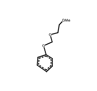 COCCOCOc1cc[c]cc1